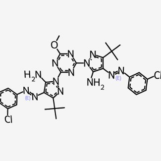 COc1nc(-n2nc(C(C)(C)C)c(/N=N/c3cccc(Cl)c3)c2N)nc(-n2nc(C(C)(C)C)c(/N=N/c3cccc(Cl)c3)c2N)n1